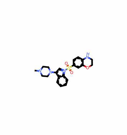 CN1CCN(c2cn(S(=O)(=O)c3ccc4c(c3)OCCN4)c3ccccc23)CC1